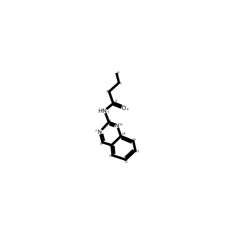 CCCC(=O)Nc1ncc2ccccc2n1